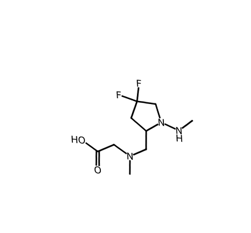 CNN1CC(F)(F)CC1CN(C)CC(=O)O